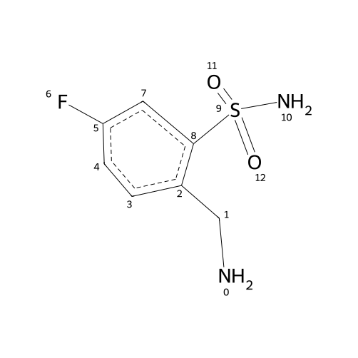 NCc1ccc(F)cc1S(N)(=O)=O